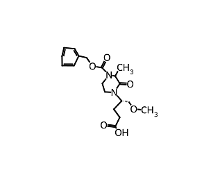 COC[C@H](CCC(=O)O)N1CCN(C(=O)OCc2ccccc2)C(C)C1=O